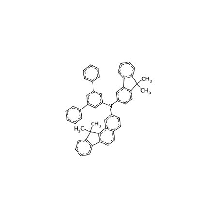 CC1(C)c2ccccc2-c2cc(N(c3cc(-c4ccccc4)cc(-c4ccccc4)c3)c3ccc4ccc5c(c4c3)C(C)(C)c3ccccc3-5)ccc21